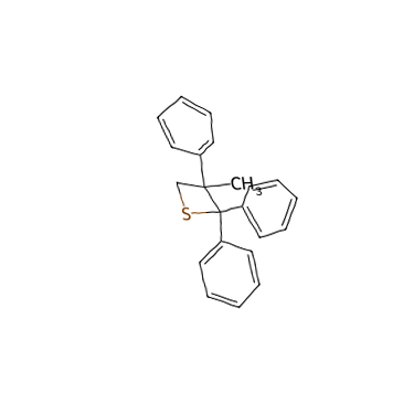 CC1(c2ccccc2)CSC1(c1ccccc1)c1ccccc1